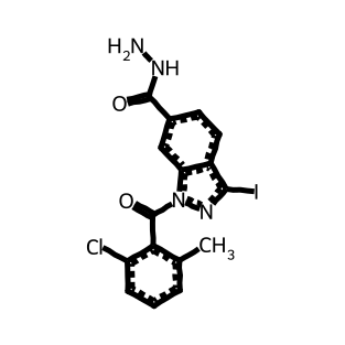 Cc1cccc(Cl)c1C(=O)n1nc(I)c2ccc(C(=O)NN)cc21